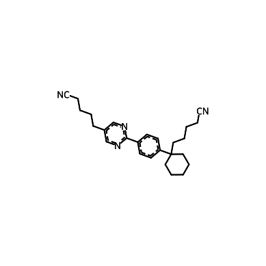 N#CCCCCc1cnc(-c2ccc(C3(CCCCC#N)CCCCC3)cc2)nc1